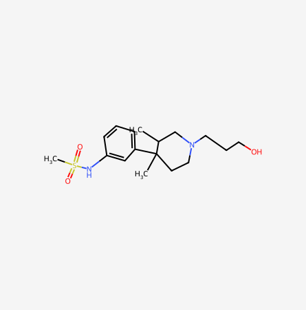 CC1CN(CCCO)CCC1(C)c1cccc(NS(C)(=O)=O)c1